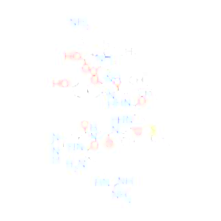 CSCC[C@H](NC(=O)[C@H](C)NC(=O)CNC(=O)[C@H](Cc1c[nH]cn1)NC(=O)[C@@H](N)CCCNC(=N)N)C(=O)N[C@H](C(=O)N[C@@H](Cc1ccc(O)cc1)C(=O)N[C@@H](CC(C)C)C(=O)N[C@@H](CCCCN)C(=O)O)C(C)C